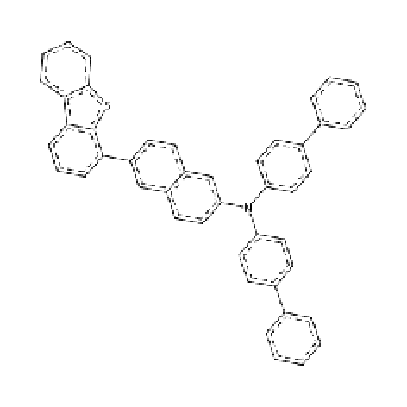 c1ccc(-c2ccc(N(c3ccc(-c4ccccc4)cc3)c3ccc4cc(-c5cccc6c5sc5ccccc56)ccc4c3)cc2)cc1